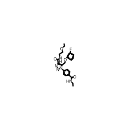 CCNC(=O)c1ccc(-n2nnc(C(=O)NCCOCC)c2COc2cccc(F)c2)cc1